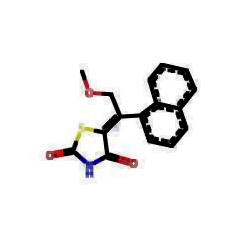 COC/C(=C1\SC(=O)NC1=O)c1cccc2ccccc12